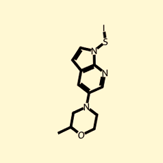 CC1CN(c2cnc3c(ccn3SI)c2)CCO1